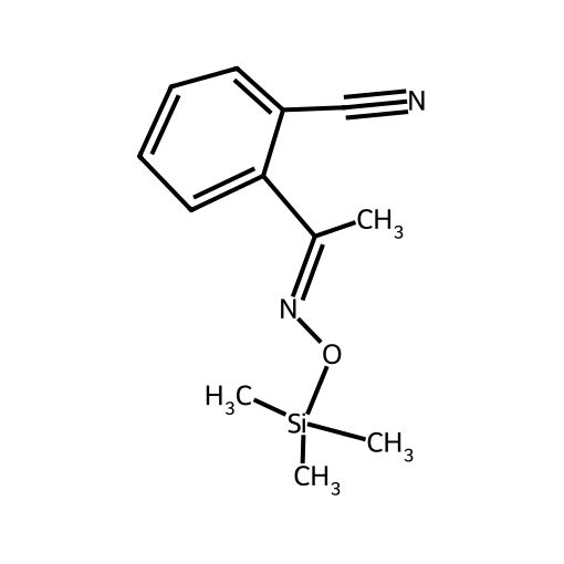 C/C(=N\O[Si](C)(C)C)c1ccccc1C#N